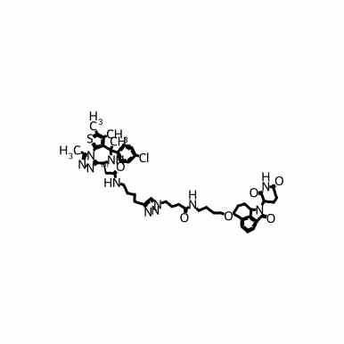 Cc1sc2c(c1C)C(C)(c1ccc(Cl)cc1)N[C@@H](CC(=O)NCCCCc1cn(CCCC(=O)NCCCCOC3CCC4c5c(cccc53)C(=O)N4C3CCC(=O)NC3=O)nn1)c1nnc(C)n1-2